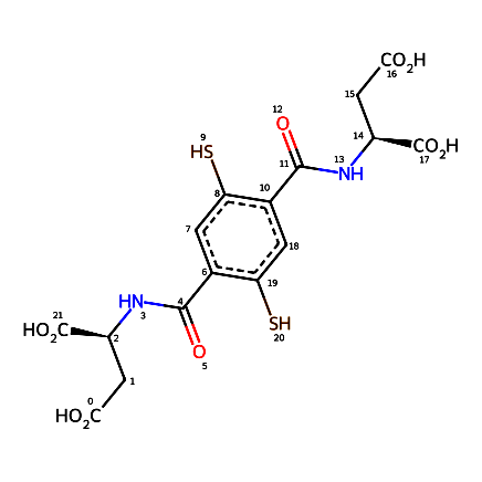 O=C(O)C[C@H](NC(=O)c1cc(S)c(C(=O)N[C@@H](CC(=O)O)C(=O)O)cc1S)C(=O)O